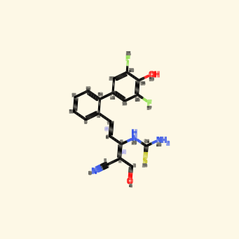 N#C/C(C=O)=C(\C=C\c1ccccc1-c1cc(F)c(O)c(F)c1)NC(N)=S